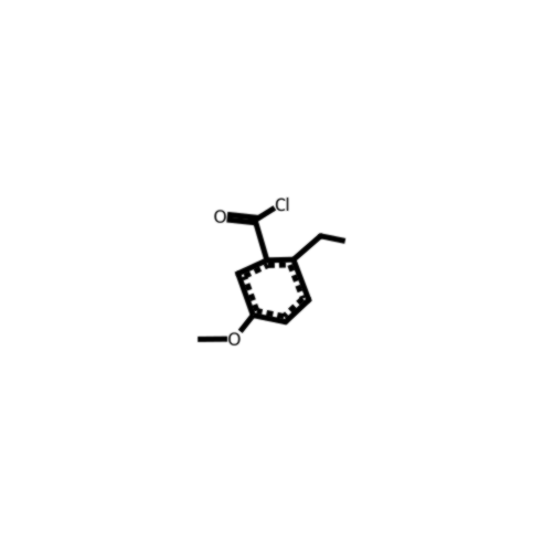 CCc1ccc(OC)cc1C(=O)Cl